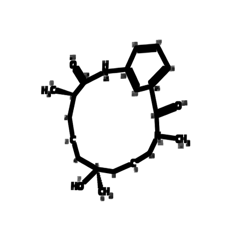 C[C@@H]1CCC[C@](C)(O)CCCN(C)C(=O)c2cccc(c2)NC1=O